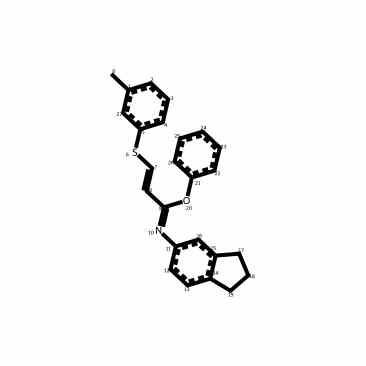 Cc1cccc(SC=CC(=Nc2ccc3c(c2)CCC3)Oc2ccccc2)c1